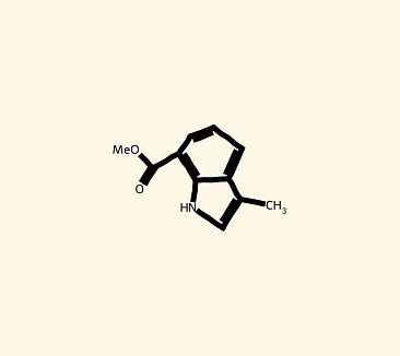 COC(=O)c1cccc2c(C)c[nH]c12